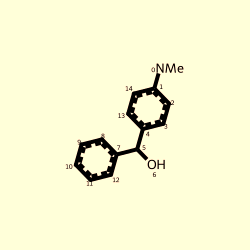 CNc1ccc(C(O)c2ccccc2)cc1